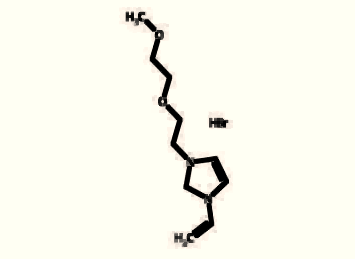 Br.C=CN1C=CN(CCOCCOC)C1